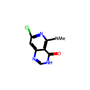 CNc1nc(Cl)cc2nc[nH]c(=O)c12